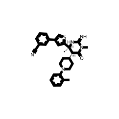 Cc1ccccc1N1CCC([C@H]2C(=O)N(C)C(=N)N[C@]2(C)c2cc(-c3cccc(C#N)c3)cs2)CC1